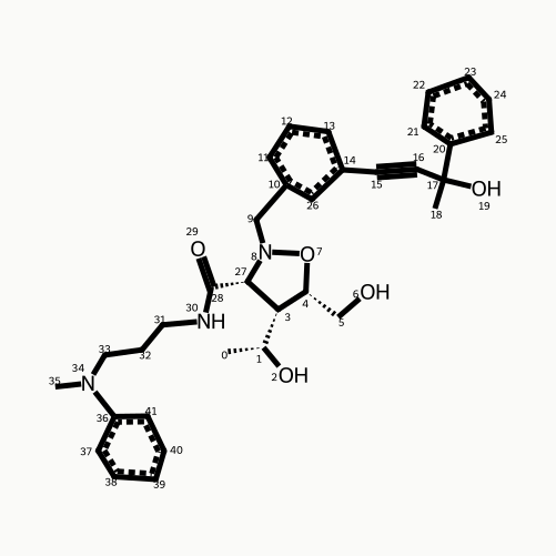 C[C@@H](O)[C@H]1[C@@H](CO)ON(Cc2cccc(C#CC(C)(O)c3ccccc3)c2)[C@H]1C(=O)NCCCN(C)c1ccccc1